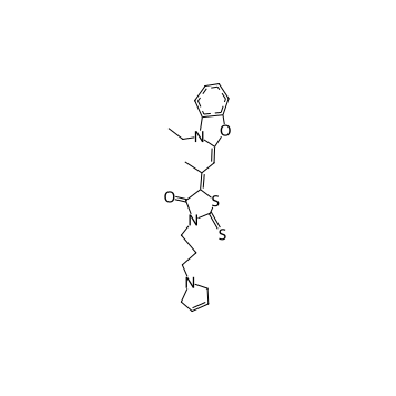 CCN1C(=CC(C)=C2SC(=S)N(CCCN3CC=CC3)C2=O)Oc2ccccc21